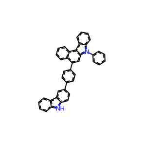 c1ccc(-n2c3ccccc3c3c4ccccc4c(-c4ccc(-c5ccc6[nH]c7ccccc7c6c5)cc4)cc32)cc1